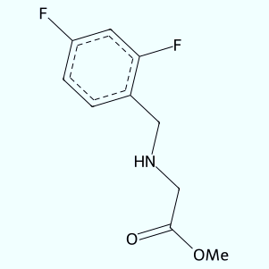 COC(=O)CNCc1ccc(F)cc1F